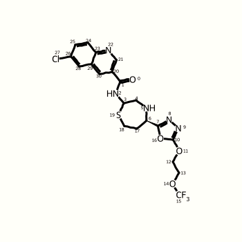 O=C(NC1CN[C@@H](c2nnc(OCCOC(F)(F)F)o2)CCS1)c1cnc2ccc(Cl)cc2c1